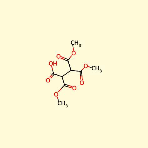 COC(=O)C(C(=O)O)C(C(=O)OC)C(=O)OC